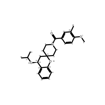 COc1ccc(C(=O)N2CCC3(CC2)C[C@H](OC(C)C)c2ccccc2O3)cc1C